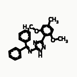 COc1cc(C)cc(OC)c1-c1n[nH]c(N=C(c2ccccc2)c2ccccc2)n1